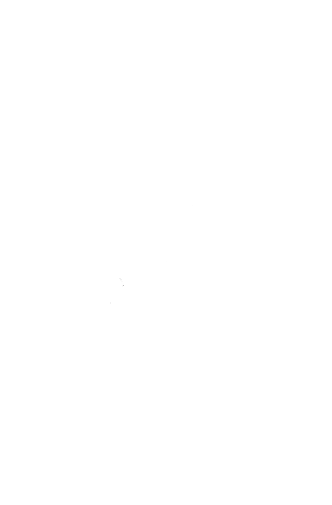 CC(=O)CC1OC2OC(C3COC(C)O3)C(O)C2O1